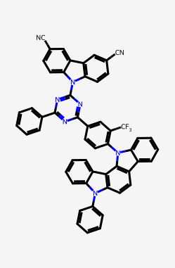 N#Cc1ccc2c(c1)c1cc(C#N)ccc1n2-c1nc(-c2ccccc2)nc(-c2ccc(-n3c4ccccc4c4ccc5c(c6ccccc6n5-c5ccccc5)c43)c(C(F)(F)F)c2)n1